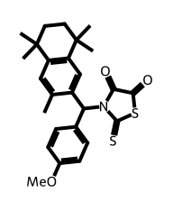 COc1ccc(C(c2cc3c(cc2C)C(C)(C)CCC3(C)C)N2C(=O)C(=O)SC2=S)cc1